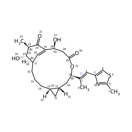 C/C(=C\c1csc(C)n1)[C@H]1C[C@@H]2C[C@@H]2CCC[C@@H]2C=C(C(=O)[C@H](C)[C@H]2O)[C@@H](O)CC(=O)O1